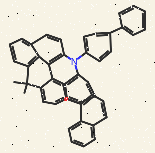 CC1(C)c2ccc(-c3cccc4ccccc34)cc2-c2c(N(c3ccccc3)c3ccc(-c4ccccc4)cc3)ccc3cccc1c23